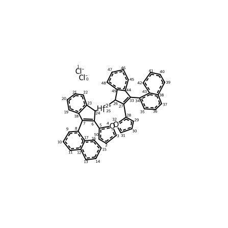 [Cl-].[Cl-].c1coc(C2=C(c3cccc4ccccc34)c3ccccc3[CH]2[Hf+2][CH]2C(c3ccco3)=C(c3cccc4ccccc34)c3ccccc32)c1